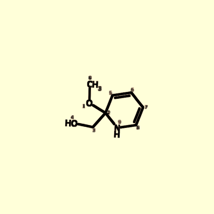 COC1(CO)C=CC=CN1